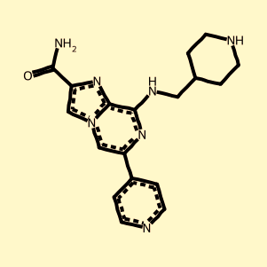 NC(=O)c1cn2cc(-c3ccncc3)nc(NCC3CCNCC3)c2n1